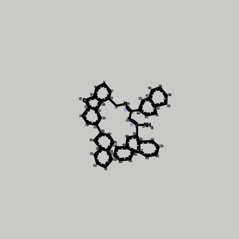 N/C(=N\C(=N/Cc1cccc2oc3ccc(-c4ccc5ccccc5c4)cc3c12)c1ccc2ccccc2c1)c1cc2ccccc2c2ccccc12